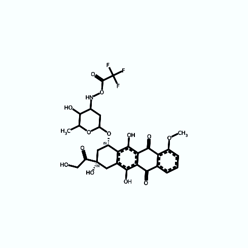 COc1cccc2c1C(=O)c1c(O)c3c(c(O)c1C2=O)C[C@@](O)(C(=O)CO)C[C@@H]3OC1CC(NOC(=O)C(F)(F)F)C(O)C(C)O1